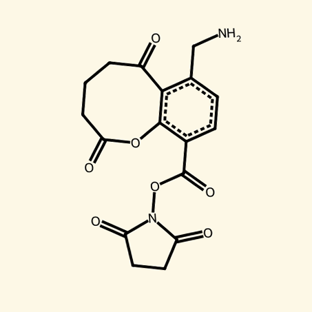 NCc1ccc(C(=O)ON2C(=O)CCC2=O)c2c1C(=O)CCCC(=O)O2